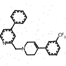 FC(F)(F)c1cccc(C2=CCN(Cc3cc(-c4ccccc4)ccn3)CC2)c1